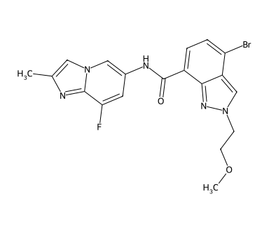 COCCn1cc2c(Br)ccc(C(=O)Nc3cc(F)c4nc(C)cn4c3)c2n1